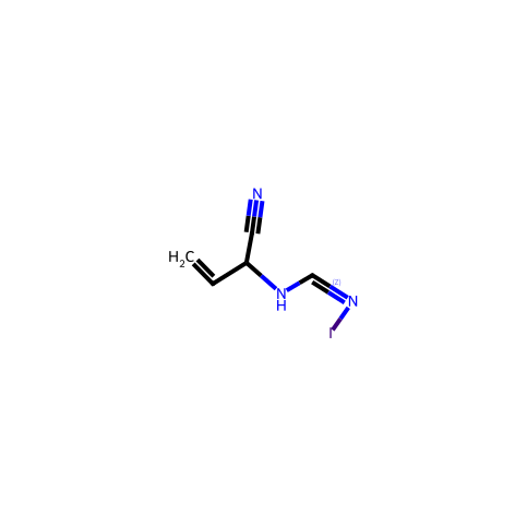 C=CC(C#N)N/C=N\I